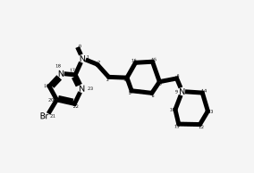 CN(CCC1CCC(CN2CCCCC2)CC1)c1ncc(Br)cn1